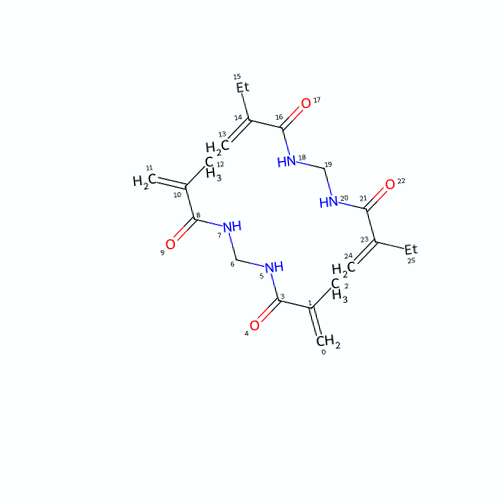 C=C(C)C(=O)NCNC(=O)C(=C)C.C=C(CC)C(=O)NCNC(=O)C(=C)CC